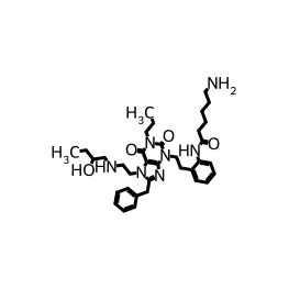 CCCn1c(=O)c2c(nc(Cc3ccccc3)n2CCNCC(O)CC)n(CCc2ccccc2NC(=O)CCCCCN)c1=O